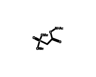 COP(=O)(CC(=O)ONC(C)=O)OC